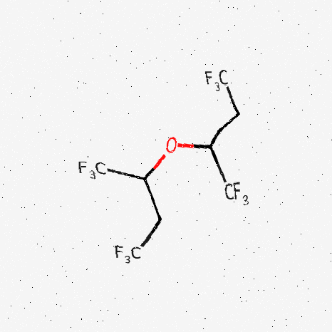 FC(F)(F)CC(OC(CC(F)(F)F)C(F)(F)F)C(F)(F)F